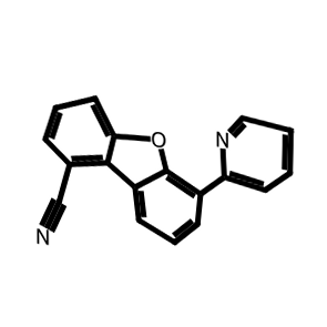 N#Cc1cccc2oc3c(-c4ccccn4)cccc3c12